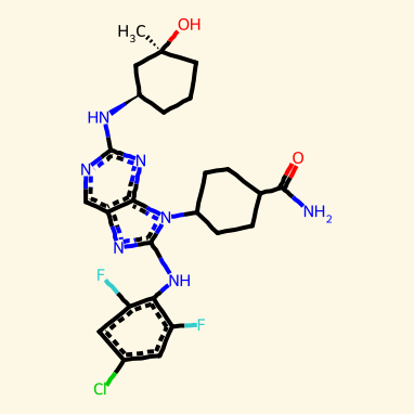 C[C@]1(O)CCC[C@@H](Nc2ncc3nc(Nc4c(F)cc(Cl)cc4F)n(C4CCC(C(N)=O)CC4)c3n2)C1